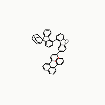 c1ccc(-c2cccc3cccc(-c4ccc(-c5ccc6oc7cccc(-c8cccc9c8-c8ccccc8C98C9CC%10CC(C9)CC8C%10)c7c6c5)cc4)c23)cc1